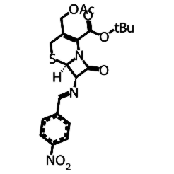 CC(=O)OCC1=C(C(=O)OC(C)(C)C)N2C(=O)[C@@H](N=Cc3ccc([N+](=O)[O-])cc3)[C@H]2SC1